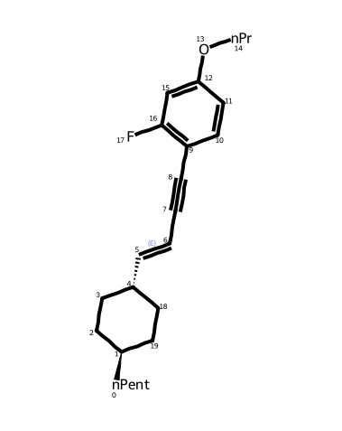 CCCCC[C@H]1CC[C@H](/C=C/C#Cc2ccc(OCCC)cc2F)CC1